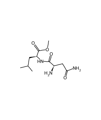 COC(=O)[C@H](CC(C)C)NC(=O)[C@H](N)CC(N)=O